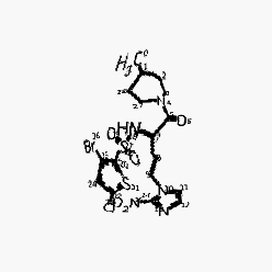 CC1CCN(C(=O)C(CCn2ccnc2[N+](=O)[O-])NS(=O)(=O)c2sc(Cl)cc2Br)CC1